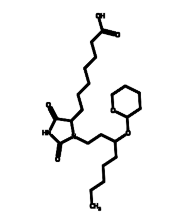 CCCCCC(CCN1C(=O)NC(=O)C1CCCCCCC(=O)O)OC1CCCCO1